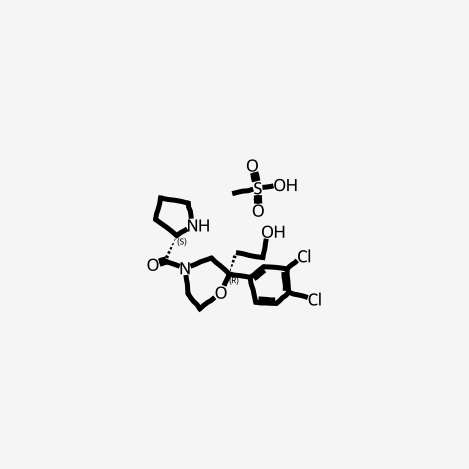 CS(=O)(=O)O.O=C([C@@H]1CCCN1)N1CCO[C@](CCO)(c2ccc(Cl)c(Cl)c2)C1